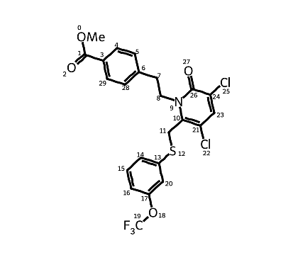 COC(=O)c1ccc(CCn2c(CSc3cccc(OC(F)(F)F)c3)c(Cl)cc(Cl)c2=O)cc1